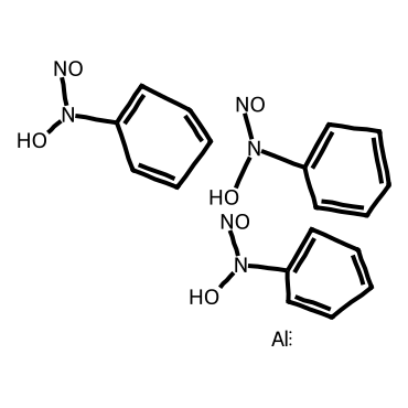 O=NN(O)c1ccccc1.O=NN(O)c1ccccc1.O=NN(O)c1ccccc1.[Al]